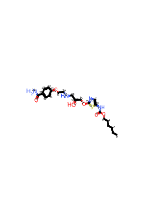 CCCCCCOC(=O)Nc1cnc(OCC(O)CNCCOc2ccc(C(N)=O)cc2)s1